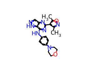 Cc1noc(C)c1-c1nc(Nc2ccc(N3CCOCC3)cc2)c2[nH]ncc2n1